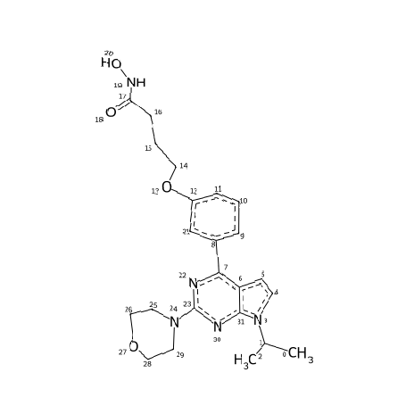 CC(C)n1ccc2c(-c3cccc(OCCCC(=O)NO)c3)nc(N3CCOCC3)nc21